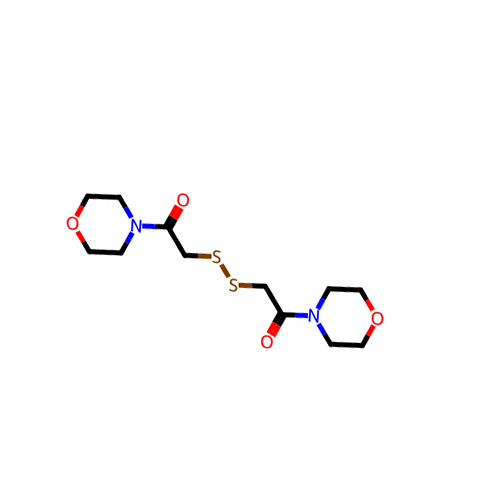 O=C(CSSCC(=O)N1CCOCC1)N1CCOCC1